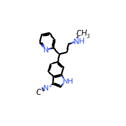 [C-]#[N+]c1c[nH]c2cc(C(CCNC)c3ccccn3)ccc12